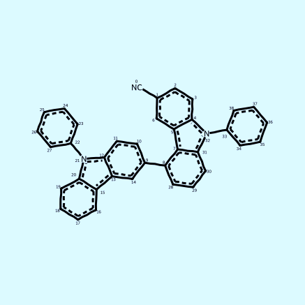 N#Cc1ccc2c(c1)c1c(-c3ccc4c(c3)c3ccccc3n4-c3ccccc3)cccc1n2-c1ccccc1